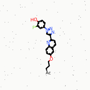 CC(=O)CCCOc1ccc2nc(-c3cn(-c4ccc(O)c(F)c4)nn3)ccc2c1